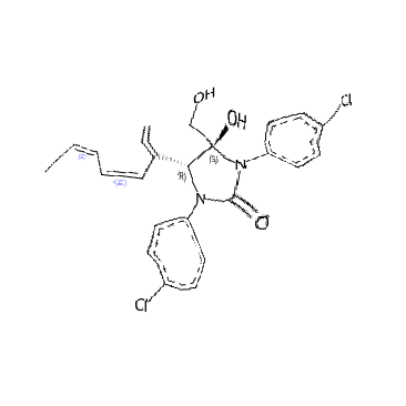 C=C(/C=C\C=C/C)[C@H]1N(c2ccc(Cl)cc2)C(=O)N(c2ccc(Cl)cc2)[C@@]1(O)CO